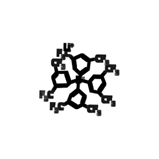 FC(F)(F)c1cc([B-](c2cc(C(F)(F)F)cc(C(F)(F)F)c2)(c2cc(C(F)(F)F)cc(C(F)(F)F)c2)c2cc(C(F)(F)F)cc(C(F)(F)F)c2)cc(C(F)(F)F)c1.[Li+]